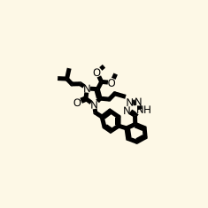 CCCc1c(C(OC)OC)n(CCC(C)C)c(=O)n1Cc1ccc(-c2ccccc2-c2nnn[nH]2)cc1